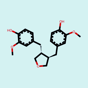 COc1cc(C[C@H]2COC[C@@H]2Cc2ccc(O)c(OC)c2)ccc1O